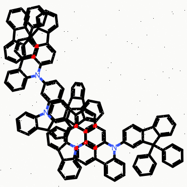 c1ccc(-c2ccc(-c3ccccc3N(c3ccc4c(c3)-n3c5ccccc5c5cccc(c53)C43c4ccccc4-c4ccc(-c5cccc(-c6ccccc6N(c6ccc7c(c6)-n6c8ccccc8c8cccc(c86)C76c7ccccc7-c7ccccc76)c6ccc7c(c6)C(c6ccccc6)(c6ccccc6)c6ccccc6-7)c5)cc43)c3ccc4c(c3)C3(c5ccccc5-c5ccccc53)c3ccccc3-4)cc2)cc1